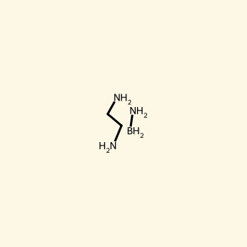 BN.NCCN